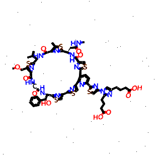 CNC(=O)C[C@@H]1NC(=O)c2csc(n2)-c2ccc(-c3nc(-n4cc(CCCC(=O)O)nc4CCCC(=O)O)cs3)nc2-c2csc(n2)-c2csc(n2)[C@H]([C@@H](O)c2ccccc2)NC(=O)CNC(=O)c2nc(sc2COC)C(C(C)C)NC(=O)c2nc1sc2C